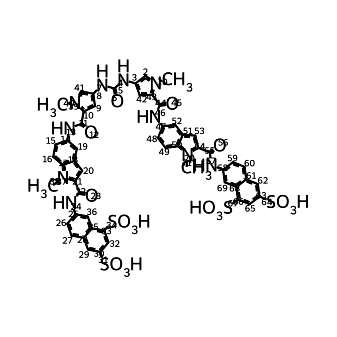 Cn1cc(NC(=O)Nc2cc(C(=O)Nc3ccc4c(c3)cc(C(=O)Nc3ccc5cc(S(=O)(=O)O)cc(S(=O)(=O)O)c5c3)n4C)n(C)c2)cc1C(=O)Nc1ccc2c(c1)cc(C(=O)Nc1ccc3cc(S(=O)(=O)O)cc(S(=O)(=O)O)c3c1)n2C